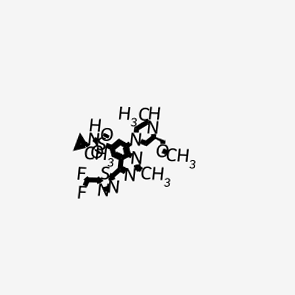 COC[C@H]1CN(c2cc(S(=O)(=O)NC3(C)CC3)cc3c(-c4nnc(C(F)F)s4)nc(C)nc23)C[C@H](C)N1